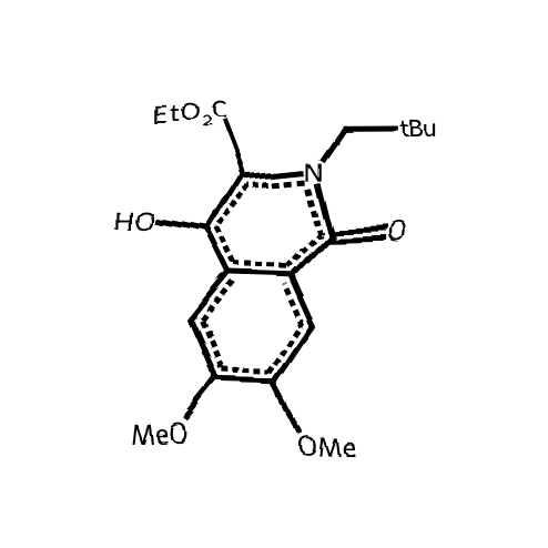 CCOC(=O)c1c(O)c2cc(OC)c(OC)cc2c(=O)n1CC(C)(C)C